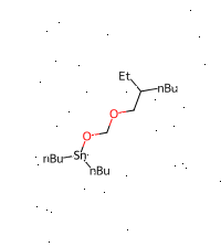 CCCCC(CC)COC[O][Sn]([CH2]CCC)[CH2]CCC